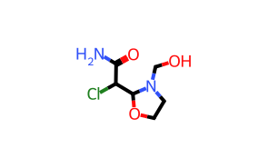 NC(=O)C(Cl)C1OCCN1CO